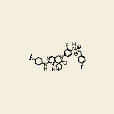 CN(C)C1CCC(Nc2ncc3c(n2)C2(CCNC2)C(=O)N(c2ccc(NS(=O)(=O)Cc4ccc(F)cc4)c(F)c2)C3)CC1